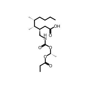 CCCC[C@@H](C)[C@@H](C)[C@H](CNC(=O)O[C@H](C)OC(=O)CC)CC(=O)O